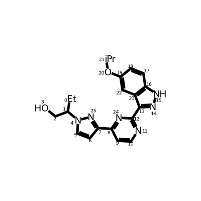 CCC(CO)n1ccc(-c2ccnc(-c3n[nH]c4ccc(OC(C)C)cc34)n2)n1